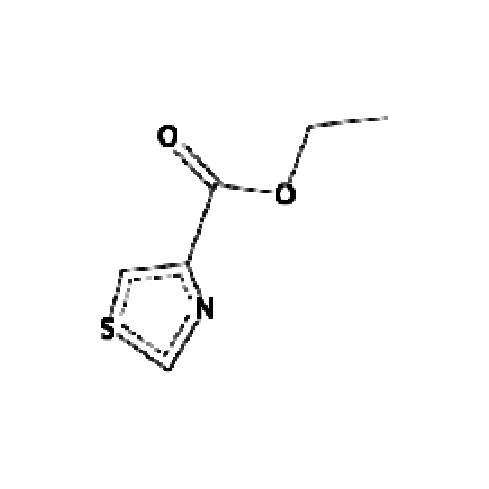 CCOC(=O)c1cscn1